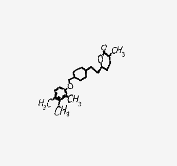 Cc1ccc(OCC2CCC(CCC3CCC(C)C(=O)O3)CC2)c(C)c1C